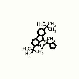 CC(C)(C)c1ccc2c(c1)C([Si](C)(C)C1C=CC=C1)c1cc(C(C)(C)C)ccc1-2